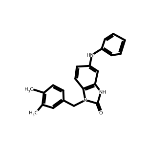 Cc1ccc(Cn2c(=O)[nH]c3cc(Nc4ccccc4)ccc32)cc1C